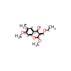 CCO/C=C(/C(=O)OC)C(=O)c1ccc(OC)c(C)c1